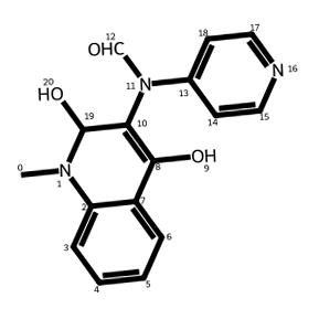 CN1c2ccccc2C(O)=C(N(C=O)c2ccncc2)C1O